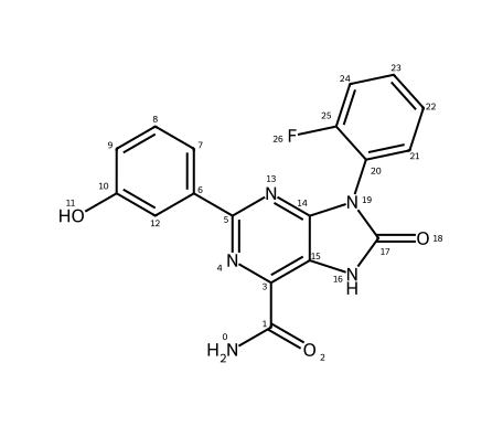 NC(=O)c1nc(-c2cccc(O)c2)nc2c1[nH]c(=O)n2-c1ccccc1F